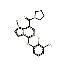 Cn1ccc2c(Nc3cccc(C(F)(F)F)c3F)ncc(C(=O)N3CCCC3)c21